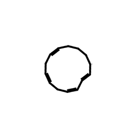 [CH]1/C=C/C=C\C/C=C\C/C=C\CCC1